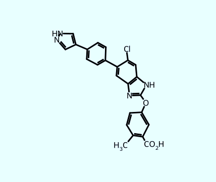 Cc1ccc(Oc2nc3cc(-c4ccc(-c5cn[nH]c5)cc4)c(Cl)cc3[nH]2)cc1C(=O)O